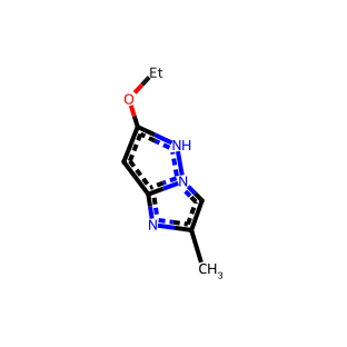 CCOc1cc2nc(C)cn2[nH]1